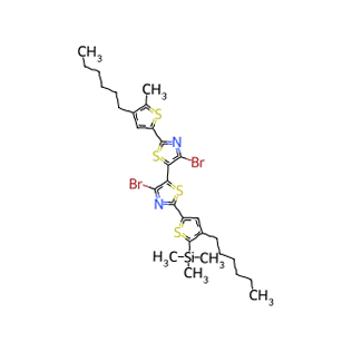 CCCCCCc1cc(-c2nc(Br)c(-c3sc(-c4cc(CCCCCC)c([Si](C)(C)C)s4)nc3Br)s2)sc1C